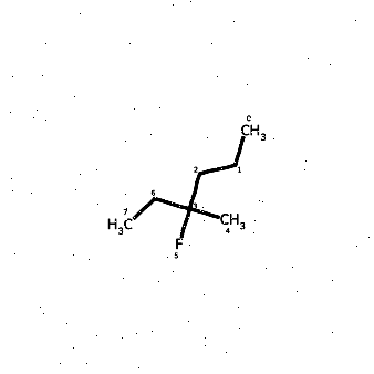 CCCC(C)(F)CC